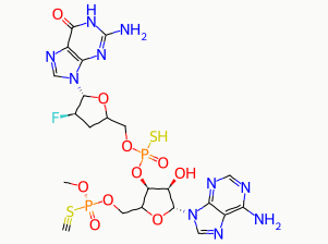 C#S[P@@](=O)(OC)OCC1O[C@@H](n2cnc3c(N)ncnc32)[C@H](O)[C@@H]1OP(=O)(S)OCC1C[C@@H](F)[C@H](n2cnc3c(=O)[nH]c(N)nc32)O1